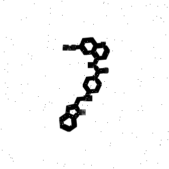 COc1ccc2nccc(NC(=O)N3CCC(NCc4cc5ccccc5[nH]4)CC3)c2c1